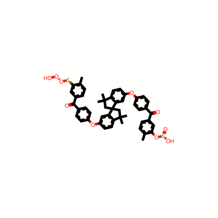 Cc1ccc(C(=O)c2ccc(Oc3ccc4c(c3)C3(CC4(C)C)CC(C)(C)c4ccc(Oc5ccc(C(=O)c6ccc(C)c(SOOO)c6)cc5)cc43)cc2)cc1OS(=O)O